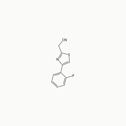 N#CCc1nc(-c2ccccc2F)cs1